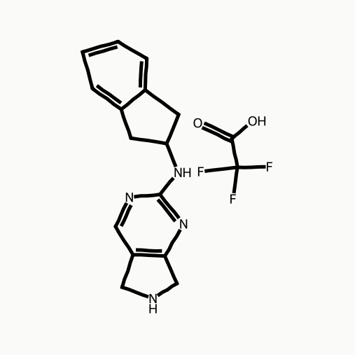 O=C(O)C(F)(F)F.c1ccc2c(c1)CC(Nc1ncc3c(n1)CNC3)C2